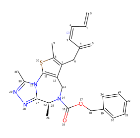 C=C/C=C\C(=C)Cc1c(C)sc2c1CN(C(=O)OCc1ccccc1)[C@@H](C)c1nnc(C)n1-2